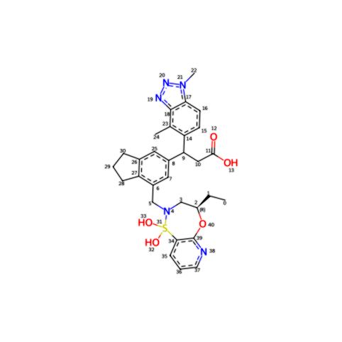 CC[C@@H]1CN(Cc2cc(C(CC(=O)O)c3ccc4c(nnn4C)c3C)cc3c2CCC3)S(O)(O)c2cccnc2O1